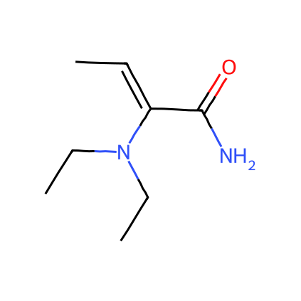 C/C=C(/C(N)=O)N(CC)CC